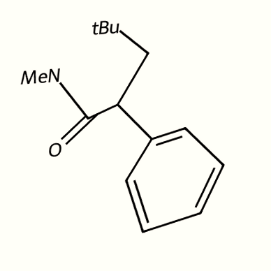 CNC(=O)C(CC(C)(C)C)c1ccccc1